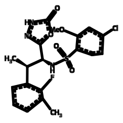 COc1cc(Cl)ccc1S(=O)(=O)N[C@H](c1n[nH]c(=O)o1)[C@H](C)c1cccc(C)c1F